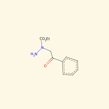 CCOC(=O)N(N)CC(=O)c1ccccc1